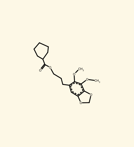 COc1c(CCCOC(=O)C2CCCCC2)cc2c(c1OC)OCO2